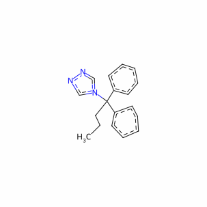 CCCC(c1ccccc1)(c1ccccc1)n1cnnc1